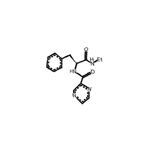 CCNC(=O)[C@H](Cc1ccccc1)NC(=O)c1cnccn1